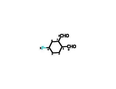 O=CC1CCC(F)CC1C=O